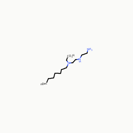 CCCCCCCCCCCCCCCCN(CCNCCN)CC(=O)O